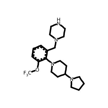 FC(F)(F)Oc1cccc(CN2CCNCC2)c1N1CCC(N2CCCC2)CC1